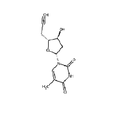 C#CC[C@H]1O[C@@H](n2cc(C)c(=O)[nH]c2=O)C[C@@H]1O